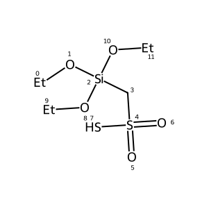 CCO[Si](CS(=O)(=O)S)(OCC)OCC